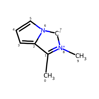 Cc1c2cccn2[cH-][n+]1C